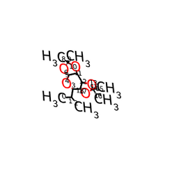 CC(C)C1OC2OC(C)(C)OC2C2OC(C)(C)OC12